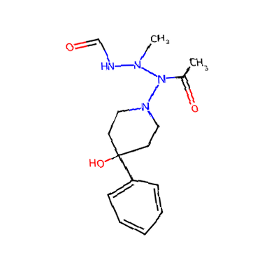 CC(=O)N(N1CCC(O)(c2ccccc2)CC1)N(C)NC=O